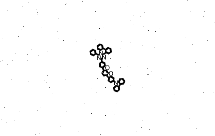 c1ccc(-c2nc(-c3ccc4c(c3)oc3c4ccc4c5ccc(-n6c7ccccc7c7ccccc76)cc5oc43)nc(-c3ccccc3-c3ccccc3)n2)cc1